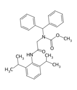 COC(=O)N(CC(=O)Nc1c(C(C)C)cccc1C(C)C)C(c1ccccc1)c1ccccc1